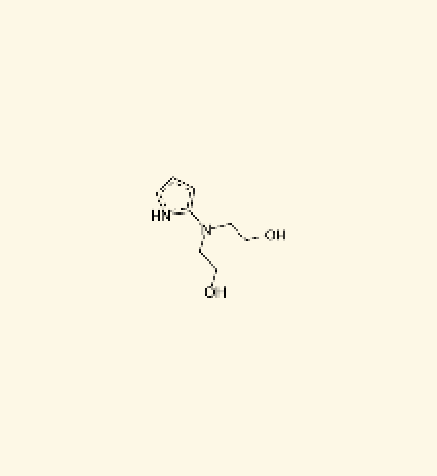 OCCN(CCO)c1ccc[nH]1